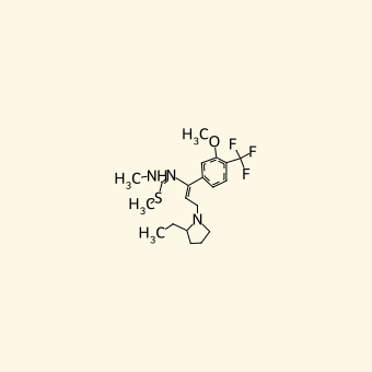 CCC1CCCN1C/C=C(/N=C(/NC)SC)c1ccc(C(F)(F)F)c(OC)c1